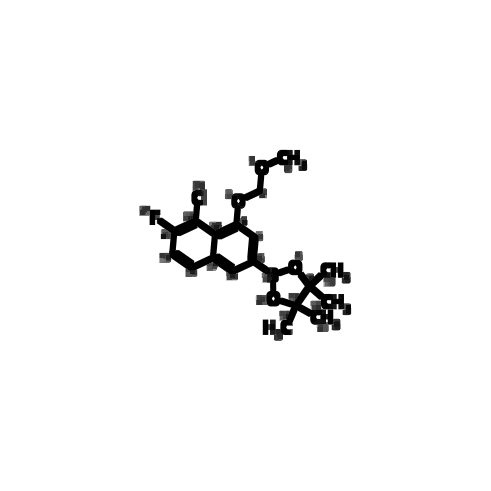 COCOc1cc(B2OC(C)(C)C(C)(C)O2)cc2ccc(F)c(Cl)c12